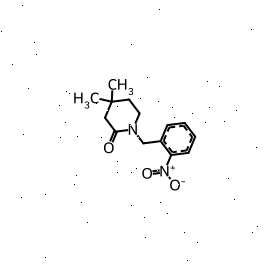 CC1(C)CCN(Cc2ccccc2[N+](=O)[O-])C(=O)C1